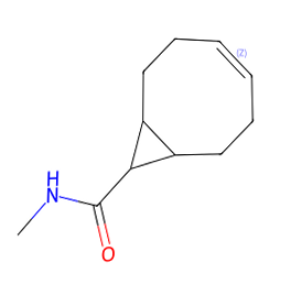 CNC(=O)C1C2CC/C=C\CCC21